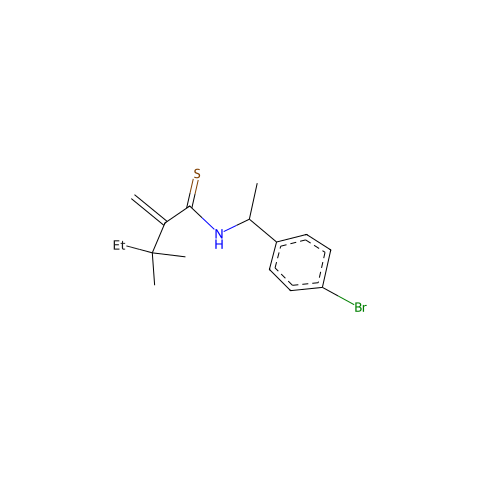 C=C(C(=S)NC(C)c1ccc(Br)cc1)C(C)(C)CC